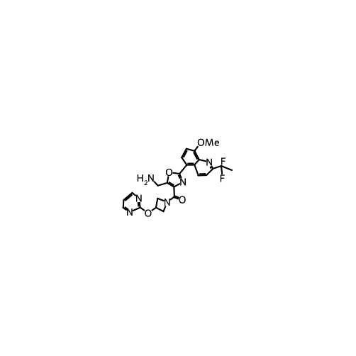 COc1ccc(-c2nc(C(=O)N3CC(Oc4ncccn4)C3)c(CN)o2)c2ccc(C(C)(F)F)nc12